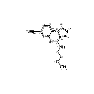 COCCNc1nc2cc(C#N)ccc2c2sccc12